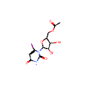 CC(=O)OCC1OC(n2c(I)cc(=O)[nH]c2=O)C(O)C1O